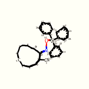 N#CC1CCCCCCCCC1=NO[Si](c1ccccc1)(c1ccccc1)c1ccccc1